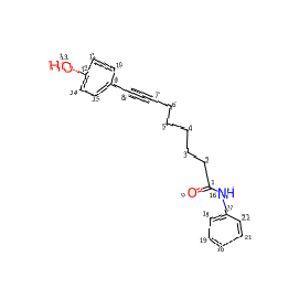 O=C(CCCCCC#Cc1ccc(O)cc1)Nc1ccccc1